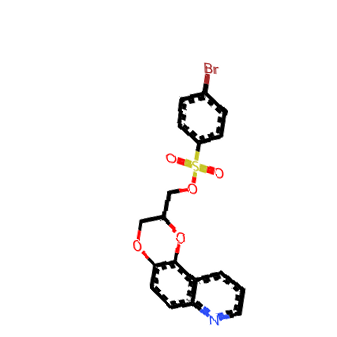 O=S(=O)(OCC1COc2ccc3ncccc3c2O1)c1ccc(Br)cc1